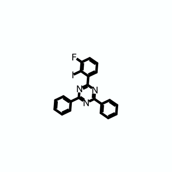 Fc1cccc(-c2nc(-c3ccccc3)nc(-c3ccccc3)n2)c1I